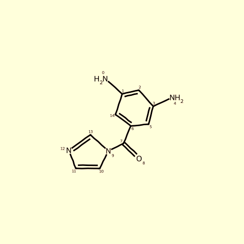 Nc1cc(N)cc(C(=O)n2ccnc2)c1